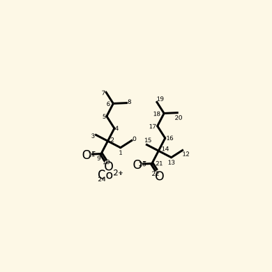 CCC(C)(CCC(C)C)C(=O)[O-].CCC(C)(CCC(C)C)C(=O)[O-].[Co+2]